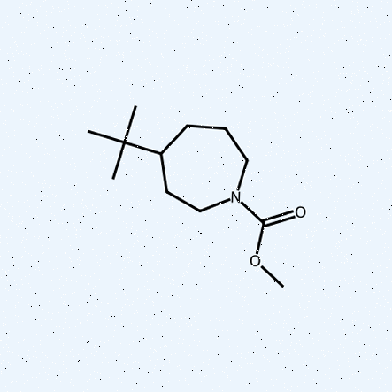 COC(=O)N1CCCC(C(C)(C)C)CC1